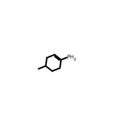 CC1CC=C(P)CC1